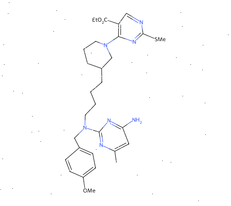 CCOC(=O)c1cnc(SC)nc1N1CCCC(CCCCN(Cc2ccc(OC)cc2)c2nc(C)cc(N)n2)C1